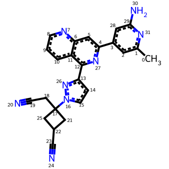 Cc1cc(-c2cc3ncccc3c(-c3ccn(C4(CC#N)CC(C#N)C4)n3)n2)cc(N)n1